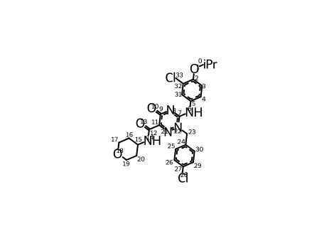 CC(C)Oc1ccc(Nc2nc(=O)c(C(=O)NC3CCOCC3)nn2Cc2ccc(Cl)cc2)cc1Cl